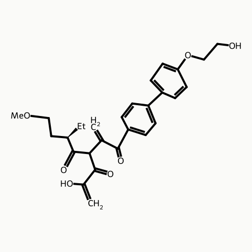 C=C(O)C(=O)C(C(=C)C(=O)c1ccc(-c2ccc(OCCO)cc2)cc1)C(=O)[C@H](CC)CCOC